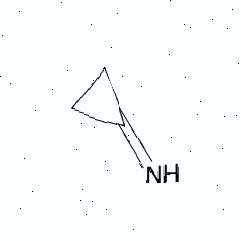 N=C1CC1